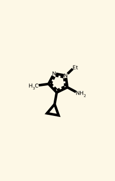 CCn1nc(C)c(C2CC2)c1N